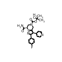 CC(C)(C)OC(=O)N1Cc2c(-c3ccncc3)c(-c3ccc(F)cc3)nn2[C@@H](C(N)=O)C1